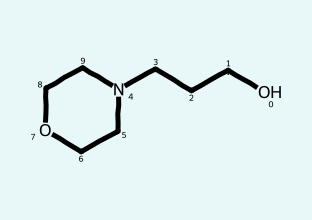 O[CH]CCN1CCOCC1